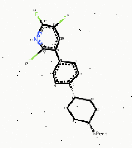 CCCCC[C@H]1CC[C@H](c2ccc(-c3cc(F)c(F)nc3F)cc2)CC1